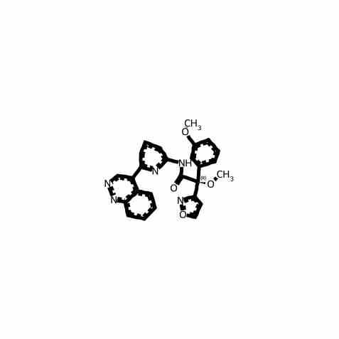 COc1cccc([C@](OC)(C(=O)Nc2cccc(-c3cnnc4ccccc34)n2)c2ccon2)c1